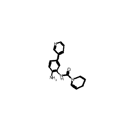 Nc1ccc(-c2cccnc2)cc1NC(=O)N1C=CCCC1